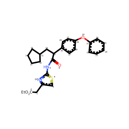 CCOC(=O)Cc1csc(NC(=O)C(CC2CCCC2)c2ccc(Oc3ccccc3)cc2)n1